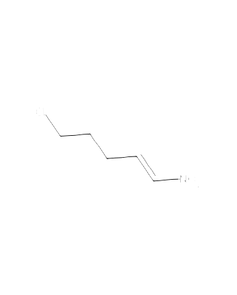 O=[N+]([O-])C=CCCCCl